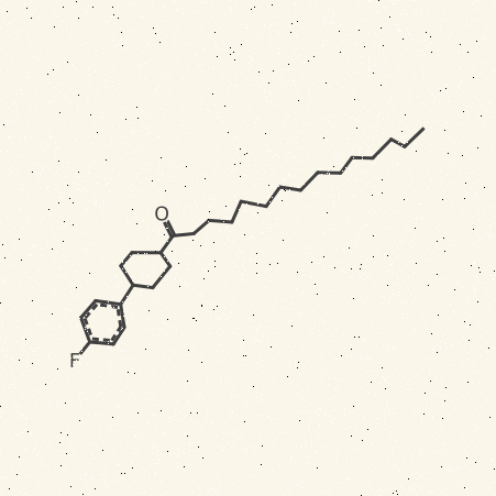 CCCCCCCCCCCCCCC(=O)C1CCC(c2ccc(F)cc2)CC1